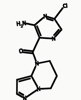 Nc1nc(Cl)cnc1C(=O)N1CCCn2nccc21